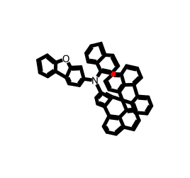 c1ccc2c(c1)-c1cccc3cccc(c13)C21c2cc(N(c3ccc4c(c3)oc3ccccc34)c3cccc4ccccc34)ccc2-c2cccc3cccc1c23